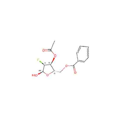 CC(=O)O[C@@H]1[C@H](F)[C@H](O)O[C@H]1COC(=O)c1ccccc1